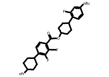 CCCCc1ccc(C2CCC(OC(=O)c3ccc(C4CCC(CCC)CC4)c(F)c3F)CC2)c(F)c1